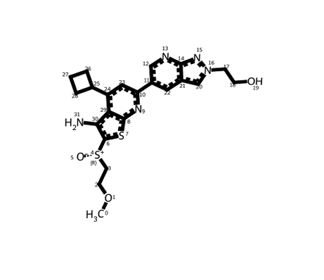 COCC[S@+]([O-])c1sc2nc(-c3cnc4nn(CCO)cc4c3)cc(C3CCC3)c2c1N